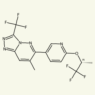 Cc1cc2nnc(C(F)(F)F)n2nc1-c1ccc(O[C@H](C)C(F)(F)F)nc1